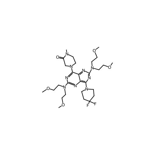 COCCN(CCOC)c1nc(N2CCN(C)C(=O)C2)c2nc(N(CCOC)CCOC)nc(N3CCC(F)(F)CC3)c2n1